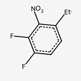 C[CH]c1ccc(F)c(F)c1[N+](=O)[O-]